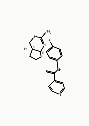 NC1=N[C@@]2(c3cc(NC(=O)c4ccncc4)ccc3F)CCC[C@H]2CS1